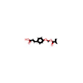 C=C(C)C(=O)OCOc1ccc(C=CC(=O)O)cc1